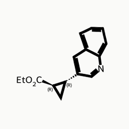 CCOC(=O)[C@@H]1C[C@H]1c1cnc2ccccc2c1